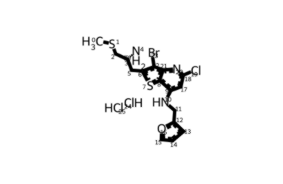 CSC[C@H](N)Cc1sc2c(NCc3ccco3)cc(Cl)nc2c1Br.Cl.Cl